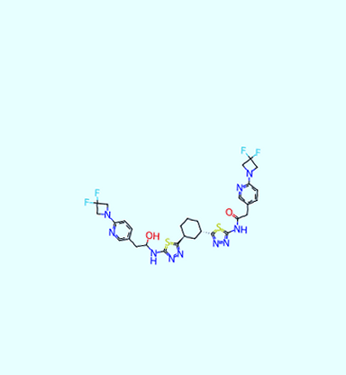 O=C(Cc1ccc(N2CC(F)(F)C2)nc1)Nc1nnc([C@H]2CCC[C@H](c3nnc(NC(O)Cc4ccc(N5CC(F)(F)C5)nc4)s3)C2)s1